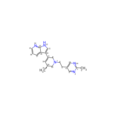 Cc1ncc(CCN2CC(c3c[nH]c4ncccc34)=C[C@H](C)C2)cn1